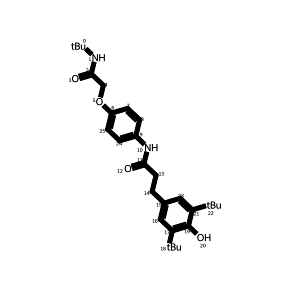 CC(C)(C)NC(=O)COc1ccc(NC(=O)CCc2cc(C(C)(C)C)c(O)c(C(C)(C)C)c2)cc1